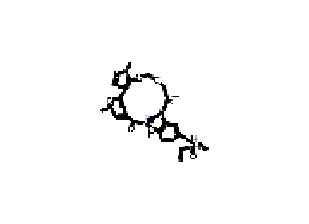 CC[SH](=O)(CC)Nc1ccc2c(c1)N1C[C@H](C)CCCOc3c(cnn3C)-c3cc(cc(C)n3)C(=O)/N=C/1N2